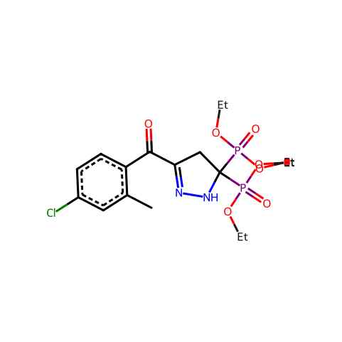 CCOP(=O)(OCC)C1(P(=O)(OCC)OCC)CC(C(=O)c2ccc(Cl)cc2C)=NN1